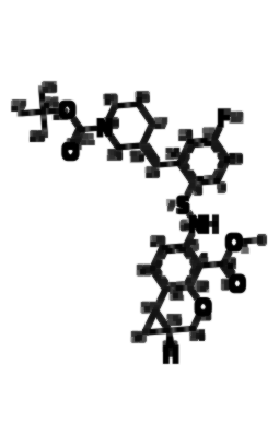 COC(=O)c1c(NSc2ccc(F)cc2/C=C2\CCCN(C(=O)OC(C)(C)C)C2)ccc2c1OC[C@@H]1CC21